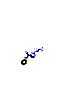 CN(C)CCNc1nccc(C(C#N)c2nc3ccccc3s2)n1